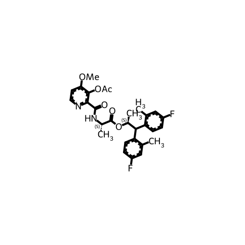 COc1ccnc(C(=O)N[C@@H](C)C(=O)O[C@@H](C)C(c2ccc(F)cc2C)c2ccc(F)cc2C)c1OC(C)=O